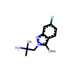 COc1c2ccc(Cl)cc2nn1CC(C)(N)C#N